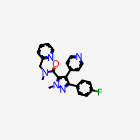 CN(Cc1ccccn1)C(=O)c1c(-c2ccncc2)c(-c2ccc(F)cc2)nn1C